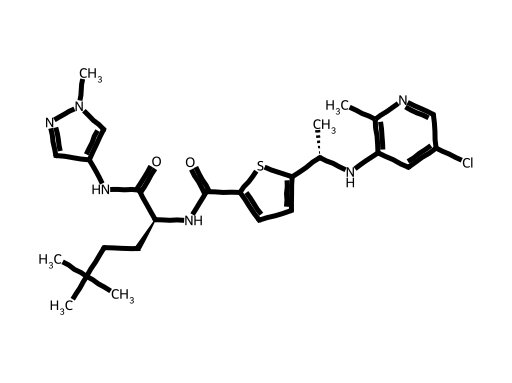 Cc1ncc(Cl)cc1N[C@@H](C)c1ccc(C(=O)N[C@@H](CCC(C)(C)C)C(=O)Nc2cnn(C)c2)s1